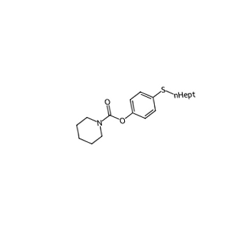 CCCCCCCSc1ccc(OC(=O)N2CCCCC2)cc1